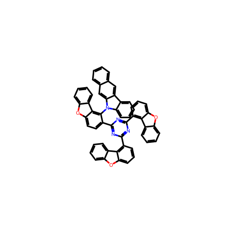 c1ccc2cc3c(cc2c1)c1ccccc1n3-c1c(-c2nc(-c3cccc4oc5ccccc5c34)nc(-c3cccc4oc5ccccc5c34)n2)ccc2oc3ccccc3c12